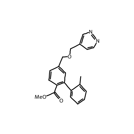 COC(=O)c1ccc(COCc2ccnnc2)cc1-c1ccccc1C